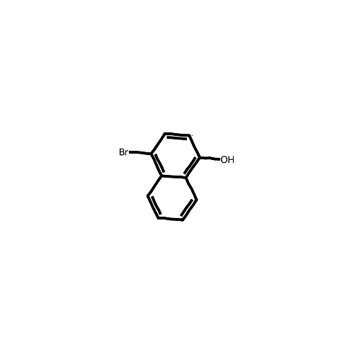 Oc1[c]cc(Br)c2ccccc12